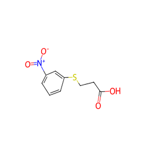 O=C(O)CCSc1cccc([N+](=O)[O-])c1